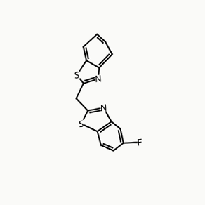 Fc1ccc2sc(Cc3nc4ccccc4s3)nc2c1